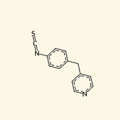 S=C=Nc1ccc(Cc2ccncc2)cc1